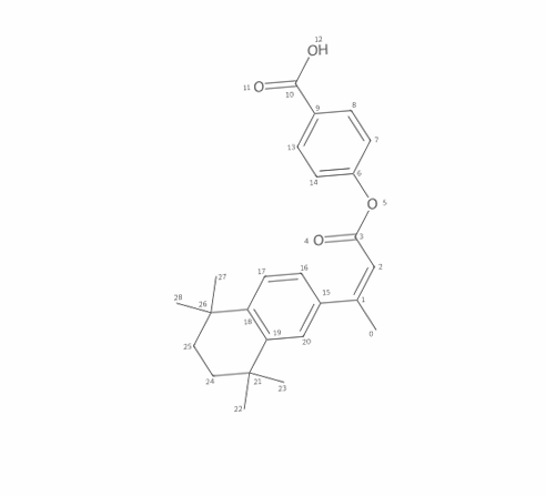 C/C(=C/C(=O)Oc1ccc(C(=O)O)cc1)c1ccc2c(c1)C(C)(C)CCC2(C)C